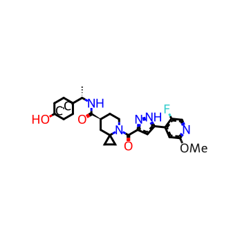 COc1cc(-c2cc(C(=O)N3CC[C@H](C(=O)N[C@@H](C)C45CCC(O)(CC4)CC5)CC34CC4)n[nH]2)c(F)cn1